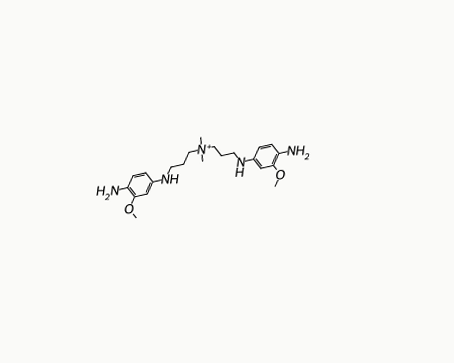 COc1cc(NCCC[N+](C)(C)CCCNc2ccc(N)c(OC)c2)ccc1N